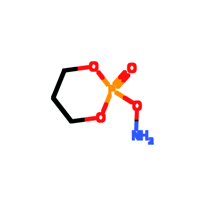 NOP1(=O)OCCCO1